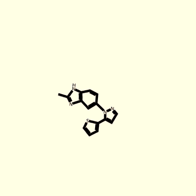 Cc1nc2cc(-n3nccc3-c3cccs3)ccc2[nH]1